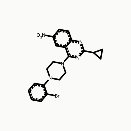 O=[N+]([O-])c1ccc2nc(C3CC3)nc(N3CCN(c4ccccc4Br)CC3)c2c1